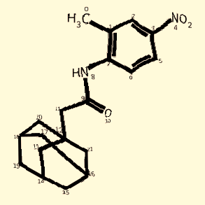 Cc1cc([N+](=O)[O-])ccc1NC(=O)CC12CC3CC(CC(C3)C1)C2